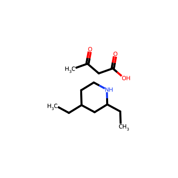 CC(=O)CC(=O)O.CCC1CCNC(CC)C1